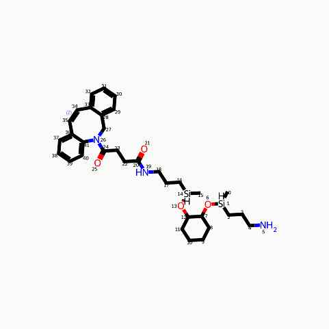 C[SiH](CCCN)OC1CCCCC1O[SiH](C)CCCNC(=O)CCC(=O)N1Cc2ccccc2/C=C\c2ccccc21